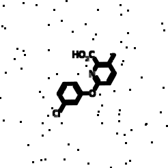 Cc1ccc(Oc2cccc(Cl)c2)nc1C(=O)O